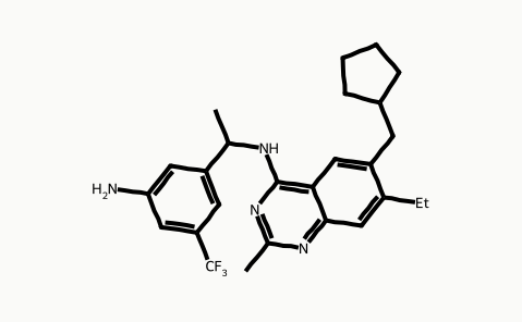 CCc1cc2nc(C)nc(NC(C)c3cc(N)cc(C(F)(F)F)c3)c2cc1CC1CCCC1